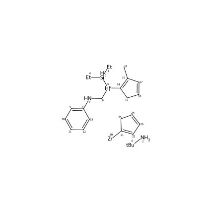 CC(C)(C)N.CC[SiH](CC)[Hf]([CH2]Nc1ccccc1)[C]1=C(C)C=CC1.[Zr][C]1=CC=CC1